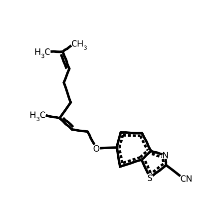 CC(C)=CCCC(C)=CCOc1ccc2nc(C#N)sc2c1